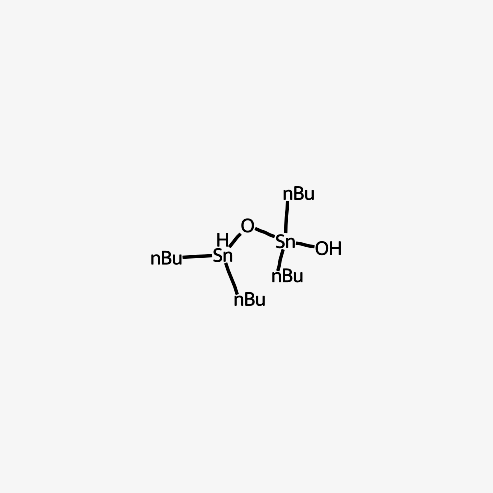 CCC[CH2][SnH]([CH2]CCC)[O][Sn]([OH])([CH2]CCC)[CH2]CCC